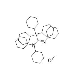 C1CCC(N=C(N(C2CCCCC2)C2CCCCC2)[N+](C2CCCCC2)(C2CCCCC2)C2CCCCC2)CC1.C[O-]